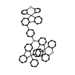 c1ccc(C2(c3ccccc3)c3ccccc3-c3ccc(N(c4ccc(-c5cccc6c5-c5ccccc5C65c6ccccc6Oc6ccccc65)cc4)c4cccc5c4-c4ccccc4C54c5ccccc5Oc5ccccc54)cc32)cc1